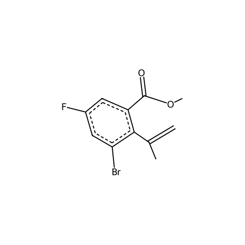 C=C(C)c1c(Br)cc(F)cc1C(=O)OC